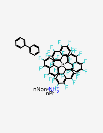 CCCCCCCCC[NH2+]CCC.Fc1c(F)c(F)c2c([B-](c3c(F)c(F)c(F)c4c(F)c(F)c(F)c(F)c34)(c3c(F)c(F)c(F)c4c(F)c(F)c(F)c(F)c34)c3c(F)c(F)c(F)c4c(F)c(F)c(F)c(F)c34)c(F)c(F)c(F)c2c1F.c1ccc(-c2ccccc2)cc1